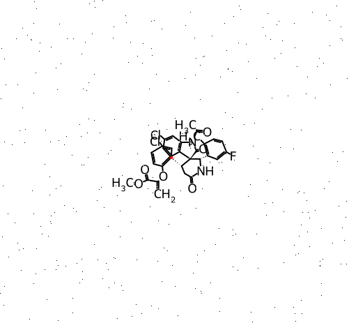 C=C(Oc1ccc(Cl)cc1[C@H]1CC(=O)N[C@@H](c2cc(F)ccc2C)[C@]12C(=O)N(C(C)=O)c1cc(Cl)ccc12)C(=O)OC